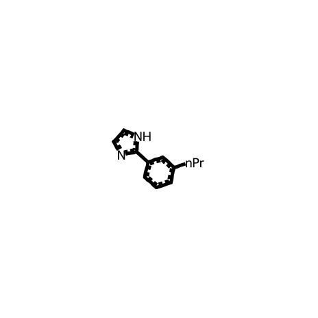 CCCc1cccc(-c2ncc[nH]2)c1